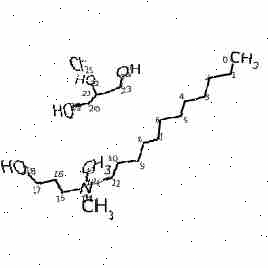 CCCCCCCCCCCC[N+](C)(C)CCCO.OCC(O)CO.[Cl-]